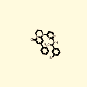 CC(Nc1nccc(N2CCCn3c2cc(-c2ccccc2)cc3=O)n1)c1cccc(Br)c1